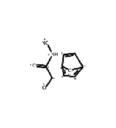 N#CNC(=O)CCl.c1cc2ccc1o2